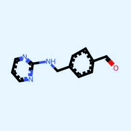 O=Cc1ccc(CNc2ncccn2)cc1